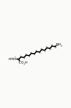 CCCCCCC(CCCCCCCCCCCCCCN)C(=O)O